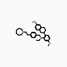 CCN(Cc1ccc(CCN2CCCCCC2)cc1)c1cc(OC)ccc1C1CCc2cc(O)ccc2C1